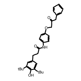 CC(C)(C)c1cc(CCC(=O)Nc2ccc(OCC(=O)Cc3ccccc3)cc2)cc(C(C)(C)C)c1O